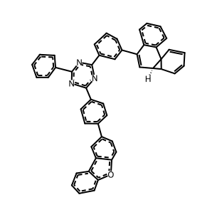 C1=CC2[C@H]3C=C(c4cccc(-c5nc(-c6ccccc6)nc(-c6ccc(-c7ccc8oc9ccccc9c8c7)cc6)n5)c4)c4ccccc4C23C=C1